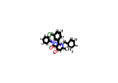 Cc1cc(=O)c(C(=O)Nc2ccccc2)c(-c2cccc(Cl)c2)n1CC1CCCCC1